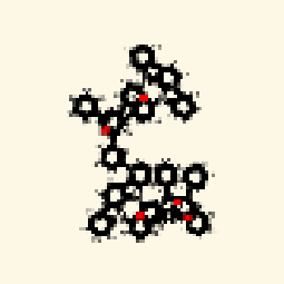 c1ccc(-c2ccc(-n3c4ccccc4c4ccc5c6ccccc6n(-c6ccc(-c7nc(-c8ccccc8)nc(-c8cccc(-c9cccc%10c9c9ccc%11c%12ccccc%12n(-c%12cccc(-c%13nc(-c%14ccccc%14)nc(-c%14ccccc%14)n%13)c%12)c%11c9n%10-c9cccc(-c%10cccc(-c%11ccccc%11)c%10)c9)c8)n7)cc6)c5c43)cc2)cc1